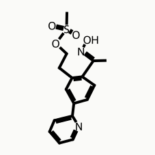 CC(=NO)c1ccc(-c2ccccn2)cc1CCOS(C)(=O)=O